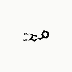 COC1CN(Cc2ccccc2)CC1C(=O)O